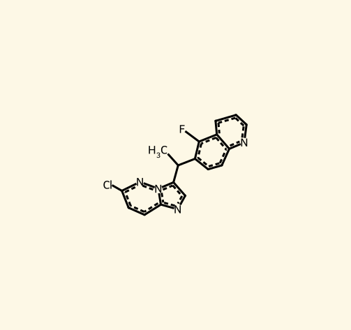 CC(c1ccc2ncccc2c1F)c1cnc2ccc(Cl)nn12